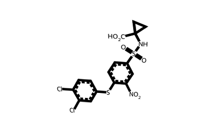 O=C(O)C1(NS(=O)(=O)c2ccc(Sc3ccc(Cl)c(Cl)c3)c([N+](=O)[O-])c2)CC1